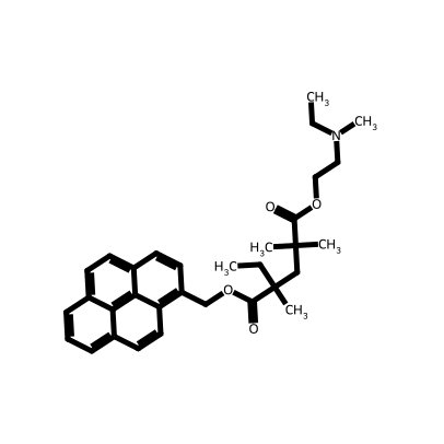 CCN(C)CCOC(=O)C(C)(C)CC(C)(CC)C(=O)OCc1ccc2ccc3cccc4ccc1c2c34